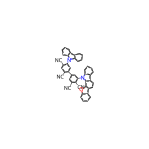 N#Cc1cc(C#N)c(-n2c3ccccc3c3ccccc32)cc1-c1cc(C#N)c(C#N)c(-n2c3ccccc3c3ccc4c5ccccc5oc4c32)c1